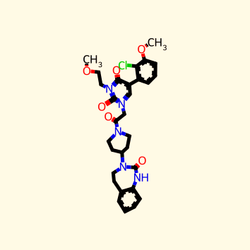 COCCn1c(=O)c(-c2cccc(OC)c2Cl)cn(CC(=O)N2CCC(N3CCc4ccccc4NC3=O)CC2)c1=O